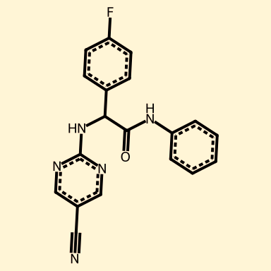 N#Cc1cnc(NC(C(=O)Nc2ccccc2)c2ccc(F)cc2)nc1